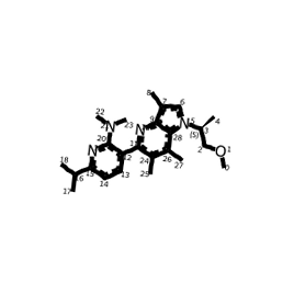 COC[C@H](C)n1cc(C)c2nc(-c3ccc(C(C)C)nc3N(C)C)c(C)c(C)c21